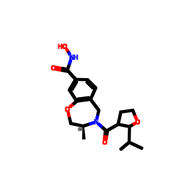 CC(C)C1OCCC1C(=O)N1Cc2ccc(C(=O)NO)cc2OC[C@@H]1C